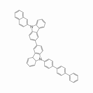 C1=CC2c3cc(-c4ccc5c(c4)c4ccccc4n5-c4ccc5ccccc5c4)ccc3N(c3ccc(-c4ccc(-c5ccccc5)cc4)cc3)C2C=C1